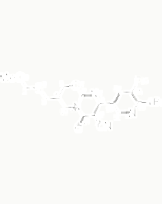 COCSCC1COc2nc(-c3cnc(C(C)(C)C)c(F)c3)c(C#N)c(=O)n2C1